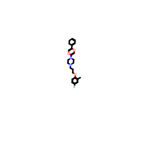 Cc1cc(F)ccc1OCCCN1CCN(C2=COC(C3=CC=CCC3)=CO2)CC1